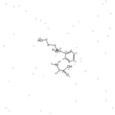 CC(C(=O)O)N(C)C.NCCCO.Oc1ccccc1